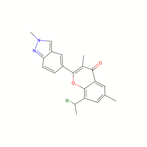 Cc1cc(C(C)Br)c2oc(-c3ccc4nn(C)cc4c3)c(C)c(=O)c2c1